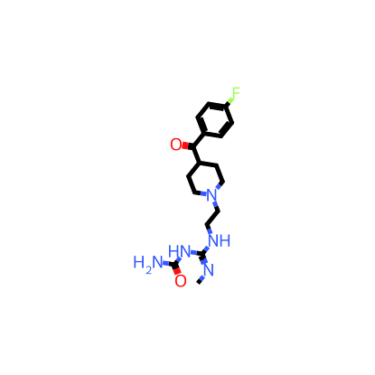 C/N=C(/NCCN1CCC(C(=O)c2ccc(F)cc2)CC1)NC(N)=O